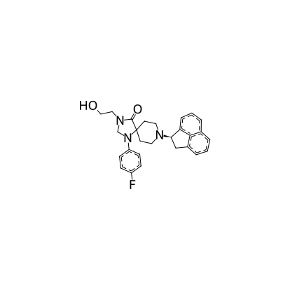 O=C1N(CCO)CN(c2ccc(F)cc2)C12CCN([C@@H]1Cc3cccc4cccc1c34)CC2